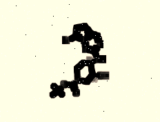 CC(C)(C)OC(=O)N1CC[C@@H](Nc2ncc3ccc(Br)n3n2)[C@H](O)C1